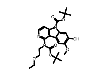 CCOCCN(C(=O)OC(C)(C)C)c1nccc2c1c1cc(OC)c(O)cc1n2C(=O)OC(C)(C)C